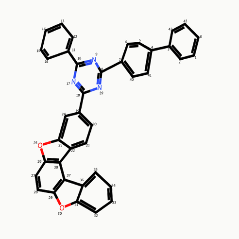 c1ccc(-c2ccc(-c3nc(-c4ccccc4)nc(-c4ccc5c(c4)oc4ccc6oc7ccccc7c6c45)n3)cc2)cc1